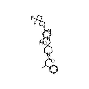 CC(CC(=O)N1CCC(O)(Cn2cnc(N3CC4(CCC4(F)F)C3)cc2=O)CC1)c1ccccc1